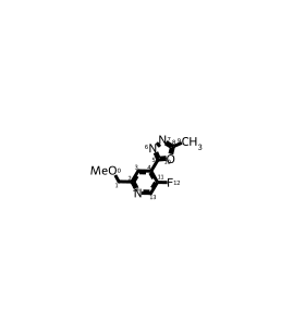 COCc1cc(-c2nnc(C)o2)c(F)cn1